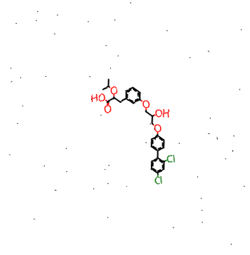 CC(C)OC(Cc1cccc(OCC(O)COc2ccc(-c3ccc(Cl)cc3Cl)cc2)c1)C(=O)O